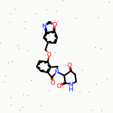 O=C1CCNC(=O)C1N1Cc2c(OCc3ccc4ocnc4c3)cccc2C1=O